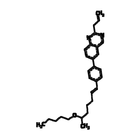 C=CCc1ncc2cc(-c3ccc(/C=C/CCCC(C)OCCCCC)cc3)ccc2n1